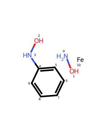 NO.ONc1ccccc1.[Fe]